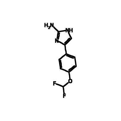 Nc1nc(-c2ccc(OC(F)F)cc2)c[nH]1